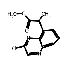 COC(=O)[C@@H](C)c1cccc2ncc(Cl)nc12